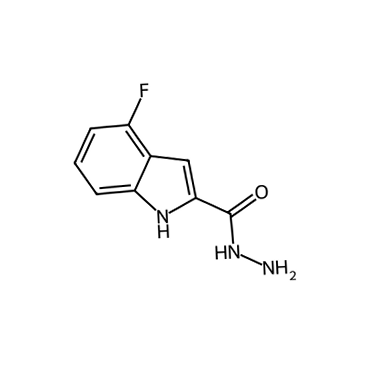 NNC(=O)c1cc2c(F)cccc2[nH]1